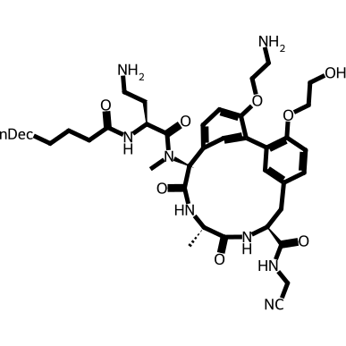 CCCCCCCCCCCCCC(=O)N[C@@H](CCN)C(=O)N(C)[C@@H]1C(=O)N[C@@H](C)C(=O)N[C@H](C(=O)NCC#N)Cc2ccc(OCCO)c(c2)-c2cc1ccc2OCCN